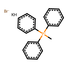 C[P+](c1ccccc1)(c1ccccc1)c1ccccc1.[Br-].[KH]